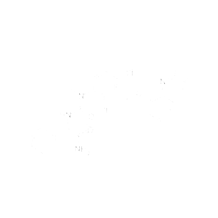 Cc1ccc2cccc(OCc3c(Cl)ccc(N(C)C(=O)NC(C(N)=O)c4ccccc4)c3Cl)c2n1